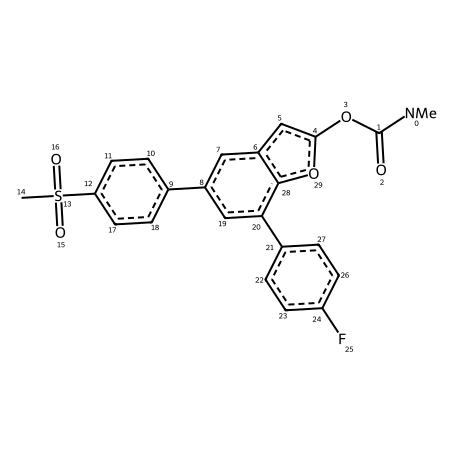 CNC(=O)Oc1cc2cc(-c3ccc(S(C)(=O)=O)cc3)cc(-c3ccc(F)cc3)c2o1